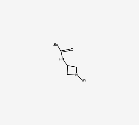 CC(C)N1CC(NC(=O)C(C)(C)C)C1